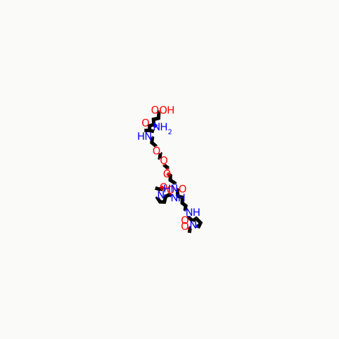 CC(=O)N1CCCC1C(=O)NCCCCC(NC(=O)C1CCCN1C(C)=O)C(=O)NCCCOCCOCCOCCCNC(C)(C)C(=O)C(N)CCC(=O)O